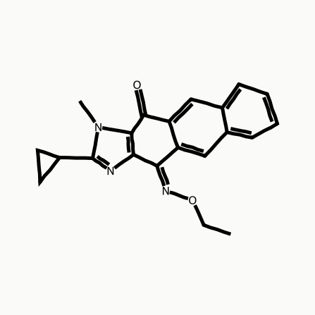 CCO/N=C1\c2cc3ccccc3cc2C(=O)c2c1nc(C1CC1)n2C